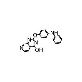 Oc1nc(Oc2ccc(Nc3ccccc3)cc2)nc2cnccc12